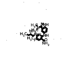 CC[C@H](N)[C@@H](C)Nc1nc(Nc2ccc3[nH]nc(N(C)C)c3c2)c(C(N)=O)cc1F